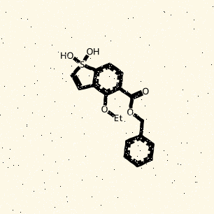 CCOc1c(C(=O)OCc2ccccc2)ccc2c1C=CS2(O)O